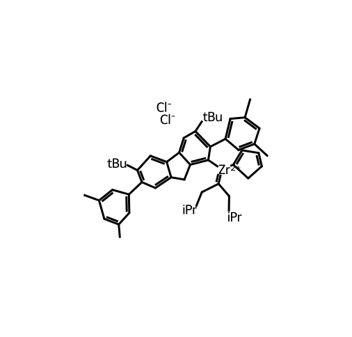 Cc1cc(C)cc(-c2cc3c(cc2C(C)(C)C)-c2cc(C(C)(C)C)c(-c4cc(C)cc(C)c4)[c]([Zr+2]([C]4=CC=CC4)=[C](CC(C)C)CC(C)C)c2C3)c1.[Cl-].[Cl-]